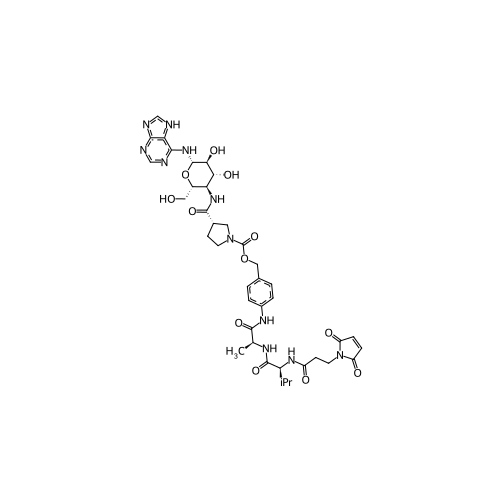 CC(C)[C@H](NC(=O)CCN1C(=O)C=CC1=O)C(=O)N[C@@H](C)C(=O)Nc1ccc(COC(=O)N2CC[C@H](C(=O)N[C@@H]3[C@@H](O)[C@H](O)[C@@H](Nc4ncnc5nc[nH]c45)O[C@H]3CO)C2)cc1